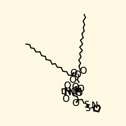 CCCCCCCCCCCCCCCCCC(=O)OCC(COP(=O)(O)OC(CNN1C(=O)CCC1=O)C(=O)CCSSc1ccccn1)OC(=O)CCCCCCCCCCCCCCCCC